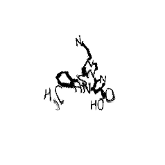 Cc1cccc(SNc2cc(C(=O)O)cnc2N2CCN(CCC#N)CC2)c1